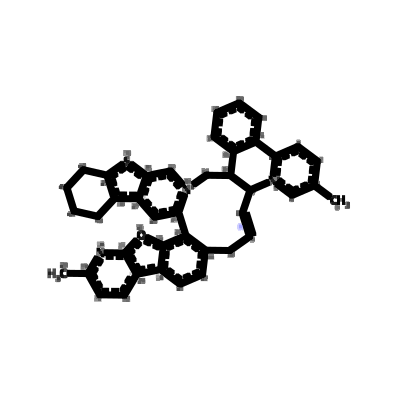 Cc1ccc2[n+](c1)C1/C=C/Cc3ccc4c(oc5nc(C)ccc54)c3-c3cc4c5c(sc4c[n+]3CC1c1ccccc1-2)CCCC5